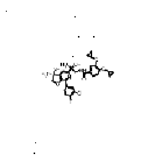 CC(O)(CNC(=O)c1ccc(OC2CC2)c(OC2CC2)c1)c1cc2c(c(-c3ccc(F)c(Cl)c3)n1)OC[C@@]2(N)C(F)(F)F